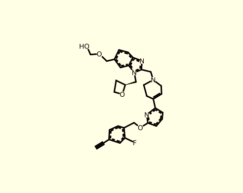 C#Cc1ccc(COc2cccc(C3=CCN(Cc4nc5ccc(COCO)cc5n4C[C@@H]4CCO4)CC3)n2)c(F)c1